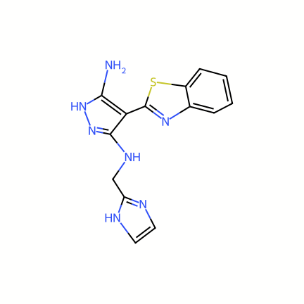 Nc1[nH]nc(NCc2ncc[nH]2)c1-c1nc2ccccc2s1